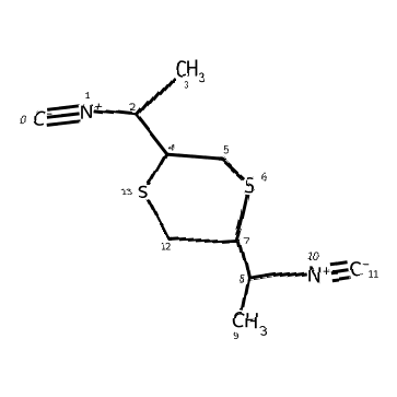 [C-]#[N+]C(C)C1CSC(C(C)[N+]#[C-])CS1